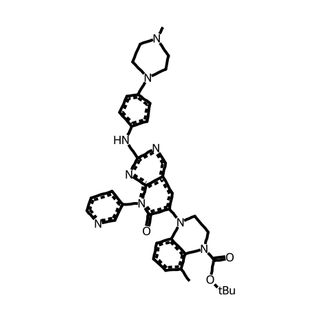 Cc1cccc2c1N(C(=O)OC(C)(C)C)CCN2c1cc2cnc(Nc3ccc(N4CCN(C)CC4)cc3)nc2n(-c2cccnc2)c1=O